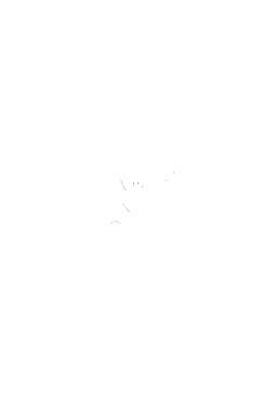 C=C(c1ccc(Br)s1)N1CCC(F)(F)CC1